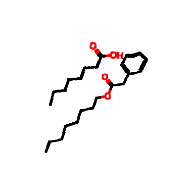 CCCCCCCC(=O)O.CCCCCCCCOC(=O)Cc1ccccc1